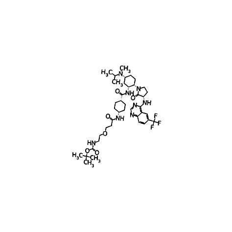 CC(C)N(C)[C@@H]1CC[C@H](N2CC[C@H](Nc3ncnc4ccc(C(F)(F)F)cc34)C2=O)[C@H](NC(=O)[C@H]2CC[C@@H](NC(=O)CCOCCNC(=O)OC(C)(C)C)CC2)C1